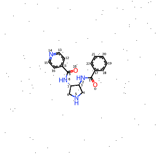 O=C(N[C@H]1CNC[C@@H]1NC(=O)c1ccncc1)c1ccccc1